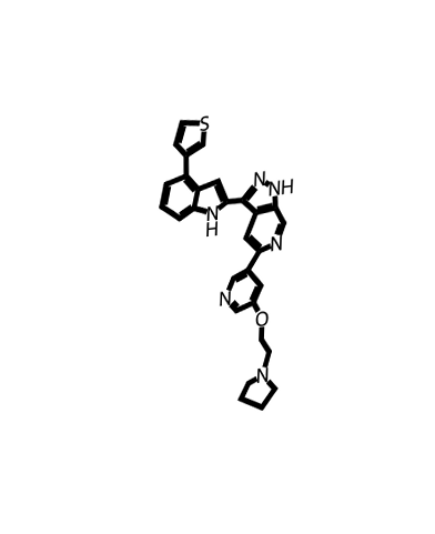 c1cc(-c2ccsc2)c2cc(-c3n[nH]c4cnc(-c5cncc(OCCN6CCCC6)c5)cc34)[nH]c2c1